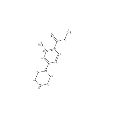 O=C(CS)c1ccc(N2CCOCC2)cc1O